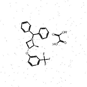 C[C@H]1[C@H](Oc2cccc(C(F)(F)F)c2)CN1C(c1ccccc1)c1ccccc1.O=C(O)C(=O)O